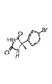 C[C@@]1(c2ccc(Br)cc2)NC(=O)NC1=O